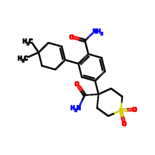 CC1(C)CC=C(c2cc(C3(C(N)=O)CCS(=O)(=O)CC3)ccc2C(N)=O)CC1